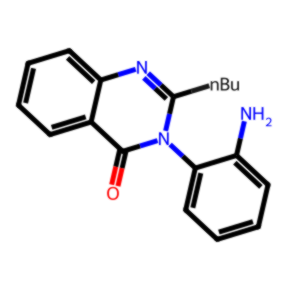 CCCCc1nc2ccccc2c(=O)n1-c1ccccc1N